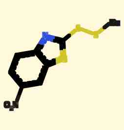 CCC(C)SSc1nc2ccc([N+](=O)[O-])cc2s1